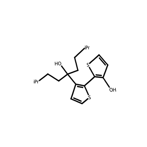 CC(C)CCC(O)(CCC(C)C)c1ccsc1-c1sccc1O